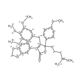 COc1ccc(C2(OCCN(C)C)OC(=O)C(c3ccc4c(c3)OCO4)=C2Cc2cc(OC)c(OC)c(OC)c2)cc1